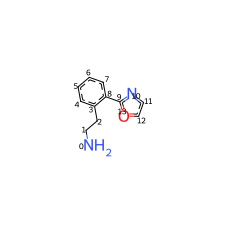 NCCc1ccccc1-c1ncco1